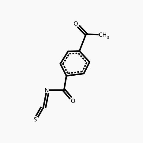 CC(=O)c1ccc(C(=O)N=C=S)cc1